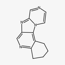 c1cn2c(cn1)nc1cnc3c(c12)CCCC3